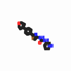 O=C(Nc1csc(-c2ccc(C3=CCOCC3)cc2)n1)N[C@H]1CCCNC1